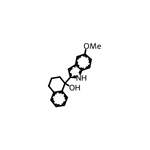 COc1ccc2[nH]c(C3(O)CCCc4ccccc43)cc2c1